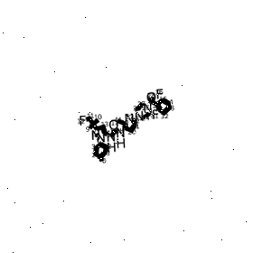 Cc1ccc(-n2nc(C(C)(C)CF)cc2NC(=O)Nc2ccc(N3CCN(C(=O)c4c(F)cccc4F)CC3)nc2C)cc1